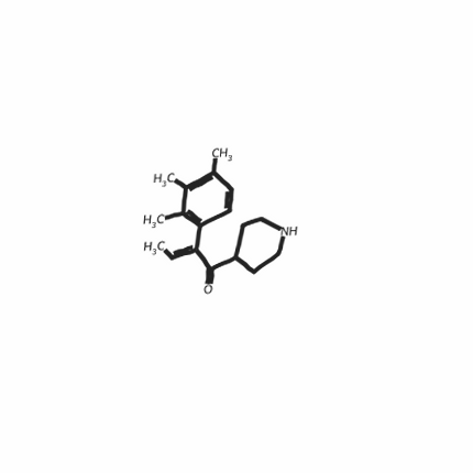 C/C=C(/C(=O)C1CCNCC1)c1ccc(C)c(C)c1C